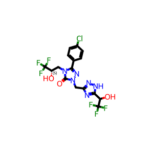 O=c1n(Cc2n[nH]c(C(O)C(F)(F)F)n2)nc(-c2ccc(Cl)cc2)n1C[C@H](O)C(F)(F)F